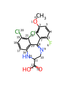 COc1ccc(F)c(C2=NCC(C(=O)O)Nc3ccc(Cl)c(Cl)c32)c1